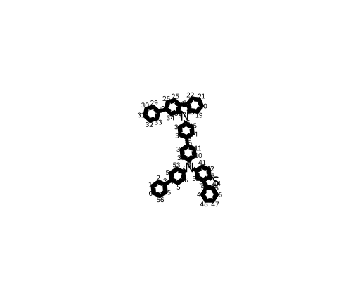 c1ccc(-c2ccc(N(c3ccc(-c4ccc(-n5c6ccccc6c6ccc(-c7ccccc7)cc65)cc4)cc3)c3ccc4sc5ccccc5c4c3)cc2)cc1